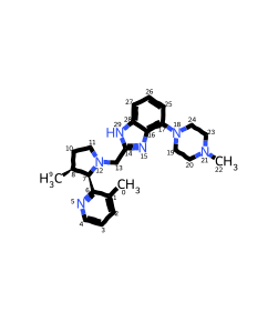 Cc1cccnc1[C@H]1[C@@H](C)CCN1Cc1nc2c(N3CCN(C)CC3)cccc2[nH]1